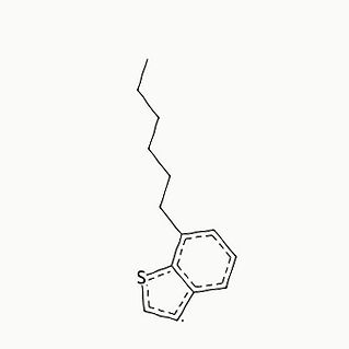 CCCCCCc1cccc2[c]csc12